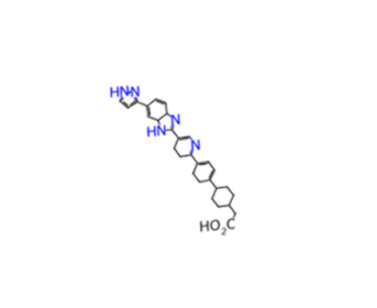 O=C(O)CC1CCC(C2=CC=C(C3=NC=C(C4=NC5C=CC(c6cc[nH]n6)=CC5N4)CC3)CC2)CC1